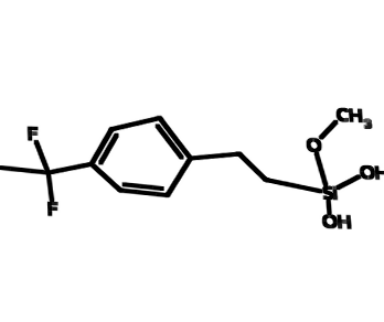 CO[Si](O)(O)CCc1ccc(C(F)(F)F)cc1